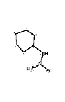 CC(=O)N(C)NC1CCCCC1